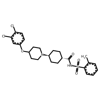 Cc1ccccc1S(=O)(=O)NC(=O)[C@H]1CC[C@H](N2CCC(Oc3ccc(Cl)c(Cl)c3)CC2)CC1